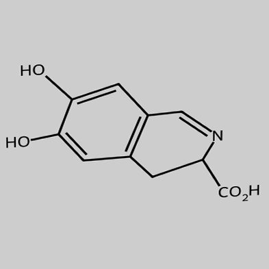 O=C(O)C1Cc2cc(O)c(O)cc2C=N1